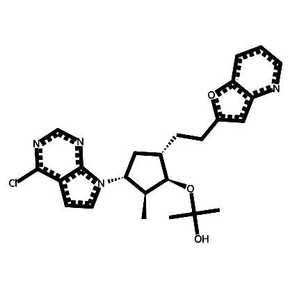 C[C@@H]1[C@H](OC(C)(C)O)[C@@H](CCc2cc3ncccc3o2)C[C@H]1n1ccc2c(Cl)ncnc21